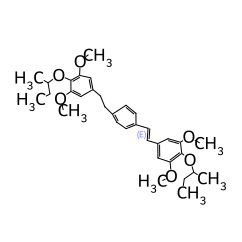 CCC(C)Oc1c(OC)cc(/C=C/c2ccc(CCc3cc(OC)c(OC(C)CC)c(OC)c3)cc2)cc1OC